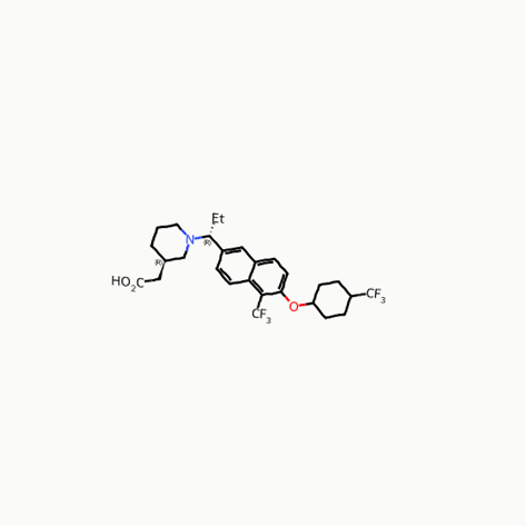 CC[C@H](c1ccc2c(C(F)(F)F)c(OC3CCC(C(F)(F)F)CC3)ccc2c1)N1CCC[C@H](CC(=O)O)C1